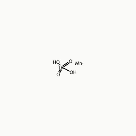 O=[Te](=O)(O)O.[Mn]